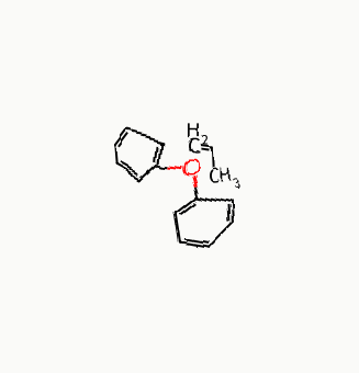 C=CC.c1ccc(Oc2ccccc2)cc1